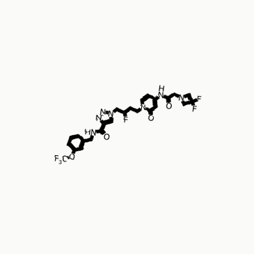 O=C(CN1CC(F)(F)C1)Nc1ccn(CCC(F)Cn2cc(C(=O)NCc3cccc(OC(F)(F)F)c3)nn2)c(=O)c1